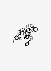 CN(CCc1ccccc1)C(=O)[C@H]1CN([C@H]2CCCC[C@H]2O)CC[C@@H]1NC(=O)c1cc(-c2ccc(F)cc2F)on1